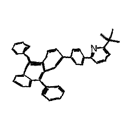 CC(C)(C)c1cccc(-c2ccc(-c3ccc4c(-c5ccccc5)c5ccccc5c(-c5ccccc5)c4c3)cc2)n1